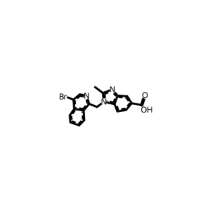 Cc1nc2cc(C(=O)O)ccc2n1Cc1ncc(Br)c2ccccc12